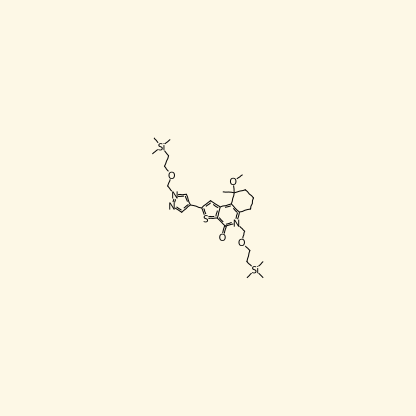 COC1(C)CCCc2c1c1cc(-c3cnn(COCC[Si](C)(C)C)c3)sc1c(=O)n2COCC[Si](C)(C)C